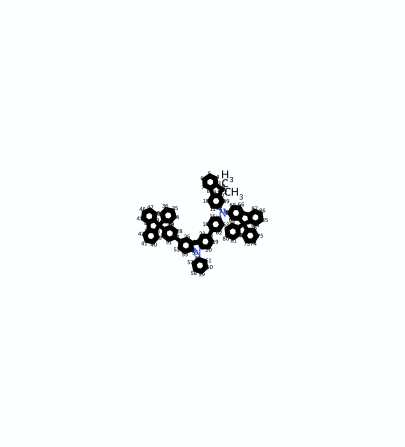 CC1(C)c2ccccc2-c2ccc(N(c3ccc(-c4ccc5c(c4)c4cc(-c6ccc(C7(c8ccccc8)c8ccccc8-c8ccccc87)cc6)ccc4n5-c4ccccc4)cc3)c3ccc4c(c3)C(c3ccccc3)(c3ccccc3)c3ccccc3-4)cc21